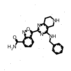 NC(=O)c1cccc2c(-c3nc4c(c(NCc5ccccc5)n3)CNCC4)onc12